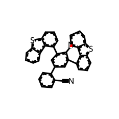 N#Cc1ccccc1-c1cc(-c2cccc3sc4ccccc4c23)c(C#N)c(-c2cccc3sc4ccccc4c23)c1